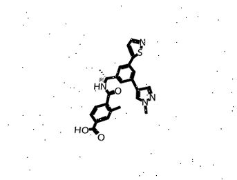 Cc1cc(C(=O)O)ccc1C(=O)N[C@H](C)c1cc(-c2cnn(C)c2)cc(-c2ccns2)c1